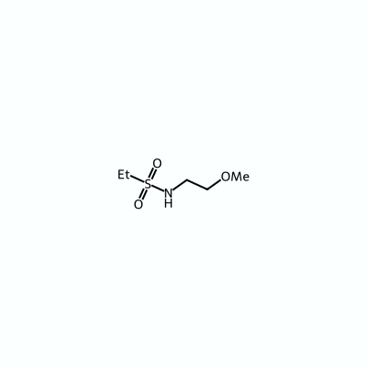 CCS(=O)(=O)NCCOC